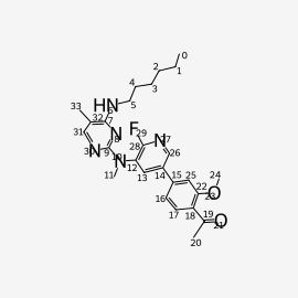 CCCCCCNc1nc(N(C)c2cc(-c3ccc(C(C)=O)c(OC)c3)cnc2F)ncc1C